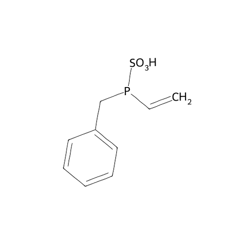 C=CP(Cc1ccccc1)S(=O)(=O)O